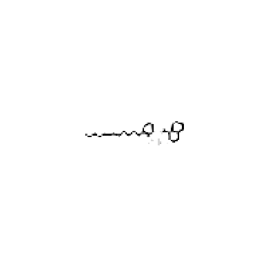 CCCCCCCCCCCCc1cccc(OC(=O)c2c(O)ccc3ccccc23)c1O